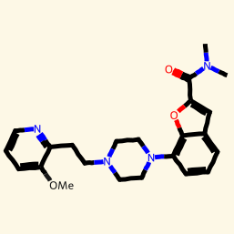 COc1cccnc1CCN1CCN(c2cccc3cc(C(=O)N(C)C)oc23)CC1